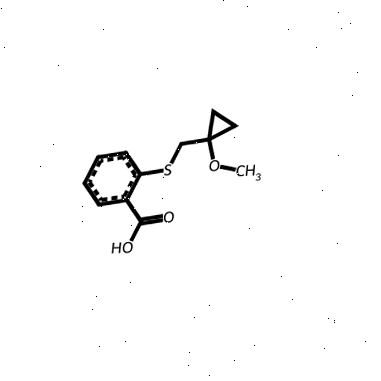 COC1(CSc2ccccc2C(=O)O)CC1